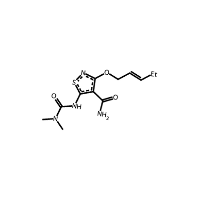 CCC=CCOc1nsc(NC(=O)N(C)C)c1C(N)=O